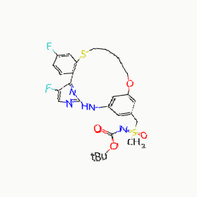 CC(C)(C)OC(=O)N=S(C)(=O)Cc1cc2cc(c1)OCCCCSc1cc(F)ccc1-c1nc(ncc1F)N2